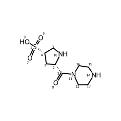 O=C([C@@H]1C[C@H](S(=O)(=O)O)CN1)N1CCNCC1